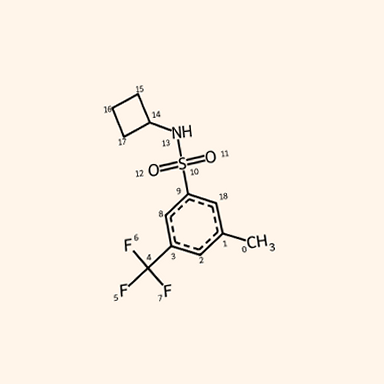 Cc1cc(C(F)(F)F)cc(S(=O)(=O)NC2CCC2)c1